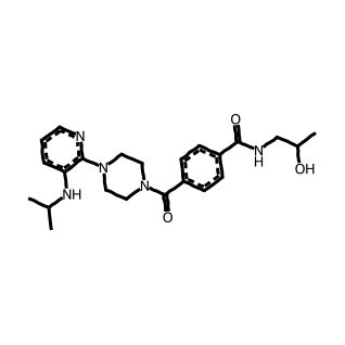 CC(O)CNC(=O)c1ccc(C(=O)N2CCN(c3ncccc3NC(C)C)CC2)cc1